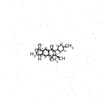 C#CCN(C)c1cc(NC)c([N+](=O)[O-])cc1C(=O)N[C@H]1CC[C@H](C)CC1